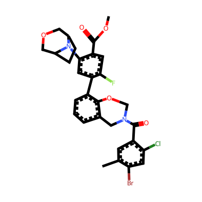 COC(=O)c1cc(F)c(-c2cccc3c2OCN(C(=O)c2cc(C)c(Br)cc2Cl)C3)cc1N1C2CCC1COC2